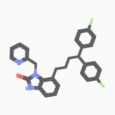 O=c1[nH]c2cccc(CCCC(c3ccc(F)cc3)c3ccc(F)cc3)c2n1Cc1ccccn1